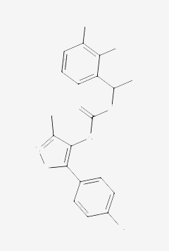 Cc1noc(-c2ccc(Br)cc2)c1NC(=O)OC(C)c1cccc(F)c1F